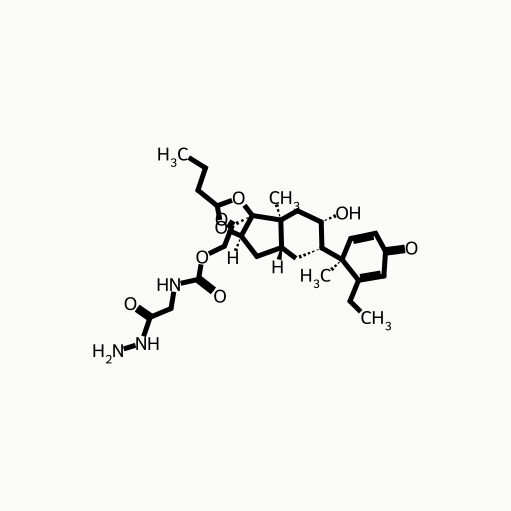 CCCC1O[C@@H]2C[C@H]3C[C@@H]([C@@]4(C)C=CC(=O)C=C4CC)[C@@H](O)C[C@]3(C)[C@]2(C(=O)COC(=O)NCC(=O)NN)O1